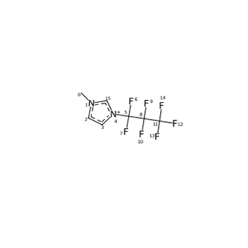 Cn1cc[n+](C(F)(F)C(F)(F)C(F)(F)F)c1